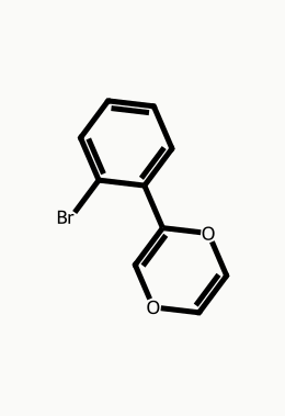 Brc1ccccc1C1=COC=CO1